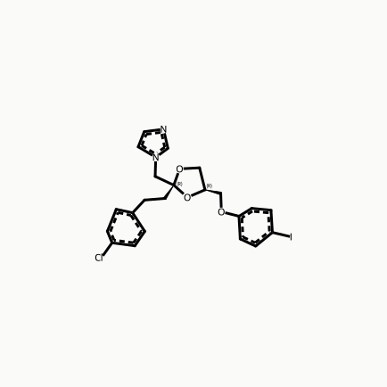 Clc1ccc(CC[C@@]2(Cn3ccnc3)OC[C@@H](COc3ccc(I)cc3)O2)cc1